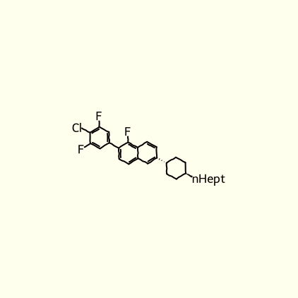 CCCCCCC[C@H]1CC[C@H](c2ccc3c(F)c(-c4cc(F)c(Cl)c(F)c4)ccc3c2)CC1